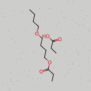 CCC(=O)O.CCCCOCCCCOC(=O)CC